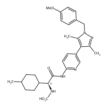 COc1ccc(Cn2nc(C)c(-c3ccc(NC(=O)[C@@H](NC(=O)O)C4CCC(C)CC4)nc3)c2C)cc1